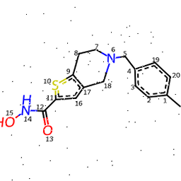 Cc1ccc(CN2CCc3sc(C(=O)NO)cc3C2)cc1